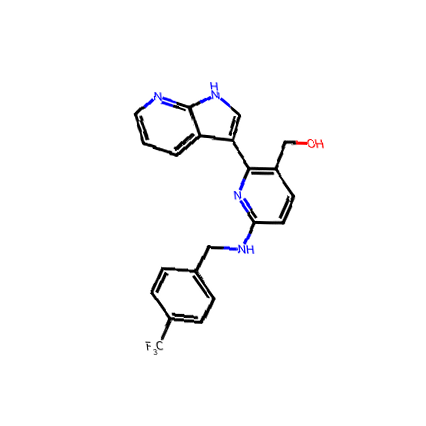 OCc1ccc(NCc2ccc(C(F)(F)F)cc2)nc1-c1c[nH]c2ncccc12